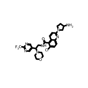 NC1CCN(c2ccc3c(C(=O)NCC(c4cnc(C(F)(F)F)nc4)N4CCOCC4)c(Cl)ccc3n2)C1